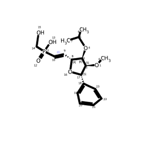 CO[C@@H]1[C@H](OC(C)C)[C@@H](/C=C/P(=O)(O)CO)O[C@H]1c1ccccc1